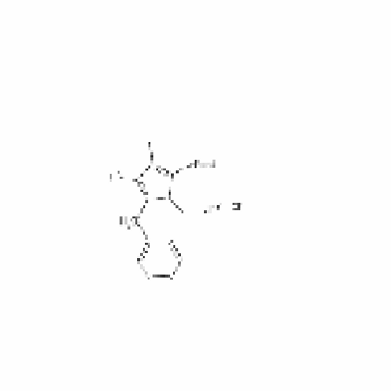 CCCCCC1=C(C)[C]([Ti+3])=C([SiH2]c2ccccc2)C1C.[Cl-].[Cl-].[Cl-]